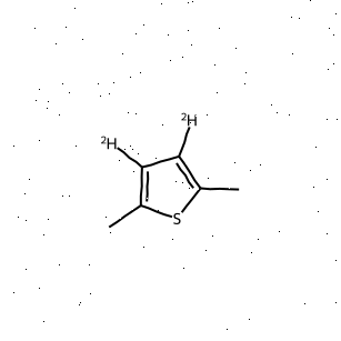 [2H]c1c(C)sc(C)c1[2H]